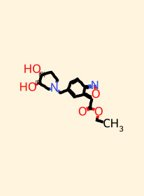 CCOC(=O)c1onc2ccc(CN3CC[C@@H](O)[C@H](O)C3)cc12